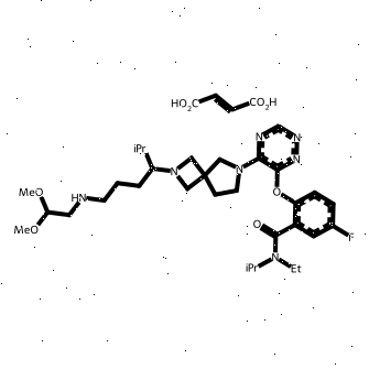 CCN(C(=O)c1cc(F)ccc1Oc1nncnc1N1CCC2(C1)CN(C(CCCNCC(OC)OC)C(C)C)C2)C(C)C.O=C(O)/C=C/C(=O)O